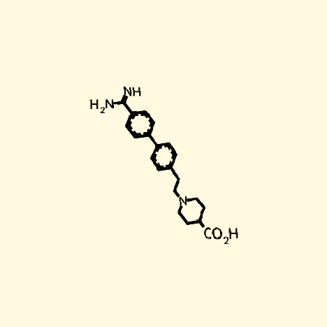 N=C(N)c1ccc(-c2ccc(CCN3CCC(C(=O)O)CC3)cc2)cc1